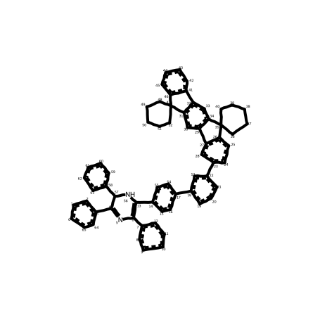 c1ccc(C2=NC(c3ccccc3)=C(c3ccc(-c4cccc(-c5ccc6c(c5)-c5cc7c(cc5C65CCCCC5)-c5ccccc5C75CCCCC5)c4)cc3)NC2c2ccccc2)cc1